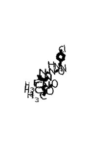 CC1OC(=O)N(c2nc(NCc3nc(-c4ccc(Cl)cc4)no3)ncc2F)C1(C)C